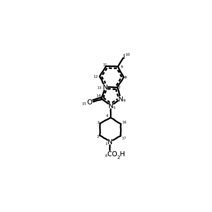 O=C(O)N1CCC(n2nc3cc(I)ccn3c2=O)CC1